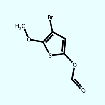 COc1sc(OC=O)cc1Br